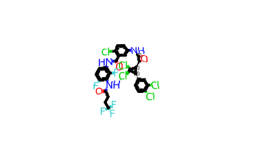 O=C(CCC(F)(F)F)Nc1c(F)ccc(NC(=O)c2cc(N[C@@H]3OC3[C@H]3[C@H](c4ccc(Cl)c(Cl)c4)C3(Cl)Cl)ccc2Cl)c1F